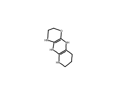 C1CNC2=C(C1)NC1=C(NCCO1)N2